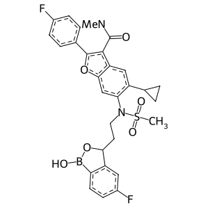 CNC(=O)c1c(-c2ccc(F)cc2)oc2cc(N(CCC3OB(O)c4ccc(F)cc43)S(C)(=O)=O)c(C3CC3)cc12